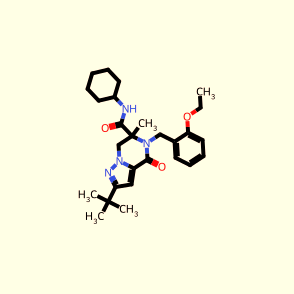 CCOc1ccccc1CN1C(=O)c2cc(C(C)(C)C)nn2CC1(C)C(=O)NC1CCCCC1